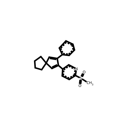 CS(=O)(=O)c1ccc(C2=CC3(C=C2c2ccccc2)CCCC3)cn1